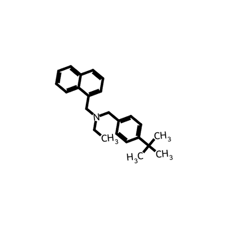 CCN(Cc1ccc(C(C)(C)C)cc1)Cc1cccc2ccccc12